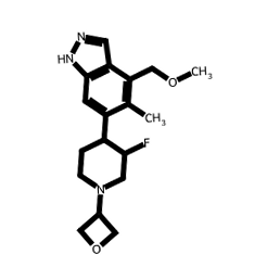 COCc1c(C)c(C2CCN(C3COC3)CC2F)cc2[nH]ncc12